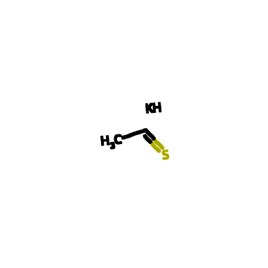 CC=S.[KH]